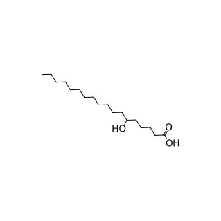 CCCCCCCCCCCCC(O)CCCCC(=O)O